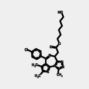 Cc1sc2c(c1C)C(c1ccc(Cl)cc1)=NC(CC(=O)OCCCCCCO)c1nnc(C)n1-2